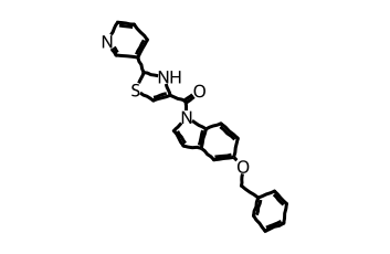 O=C(C1=CSC(c2cccnc2)N1)n1ccc2cc(OCc3ccccc3)ccc21